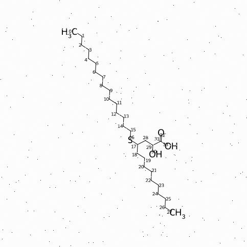 CCCCCCCCCCCCCCCCSC(CCCCCCCCCC)CC(O)C(=O)O